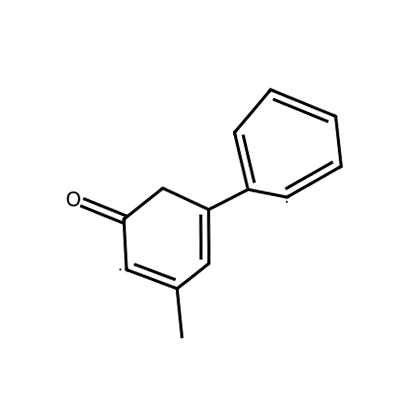 CC1=[C]C(=O)CC(c2[c]cccc2)=C1